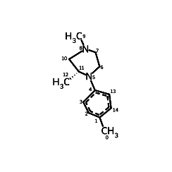 Cc1ccc(N2CCN(C)C[C@H]2C)cc1